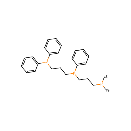 CCP(CC)CCCP(CCCP(c1ccccc1)c1ccccc1)c1ccccc1